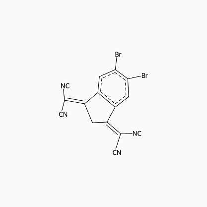 [C-]#[N+]/C(C#N)=C1/C/C(=C(\C#N)[N+]#[C-])c2cc(Br)c(Br)cc21